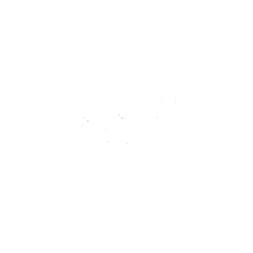 CCOC(=O)[C@H]1[C@@H]2C[C@@H](Cc3ccc(F)c(C)c3)[C@](C#N)(C(=O)CN)[C@@H]21